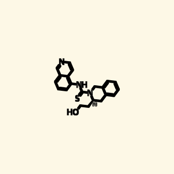 OCC[C@@H]1Cc2ccccc2CN1C(=S)Nc1cccc2cnccc12